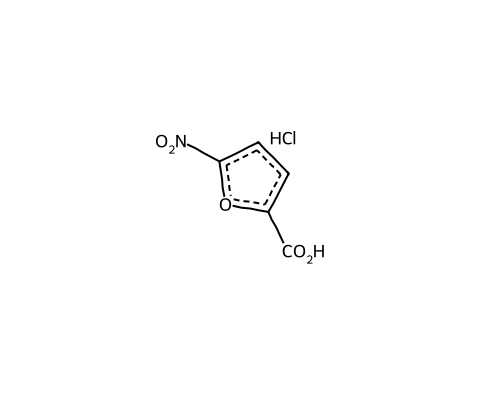 Cl.O=C(O)c1ccc([N+](=O)[O-])o1